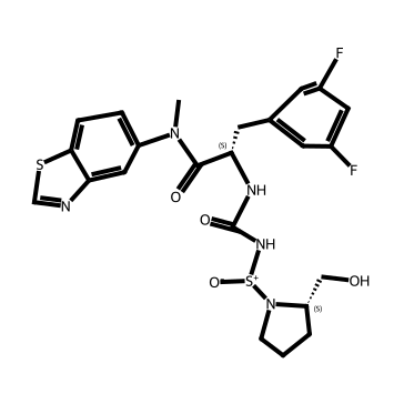 CN(C(=O)[C@H](Cc1cc(F)cc(F)c1)NC(=O)N[S+]([O-])N1CCC[C@H]1CO)c1ccc2scnc2c1